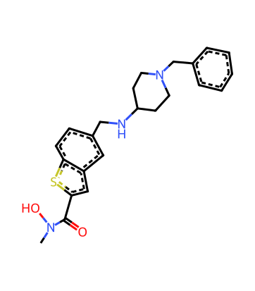 CN(O)C(=O)c1cc2cc(CNC3CCN(Cc4ccccc4)CC3)ccc2s1